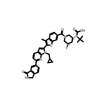 Cc1c(-c2cc3ccc(-c4ccc5c(c4)C(=O)NC5)nc3n2CC2CC2)oc2cc(C(=O)N3C[C@H](F)C[C@@H](N(C(=O)O)C(C)(C)C)C3)ccc12